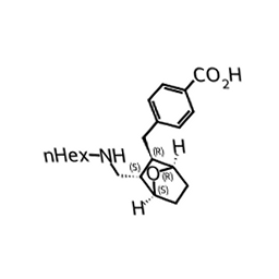 CCCCCCNC[C@@H]1[C@@H](Cc2ccc(C(=O)O)cc2)[C@H]2CC[C@@H]1O2